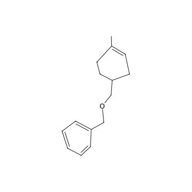 CC1=CCC(COCc2ccccc2)CC1